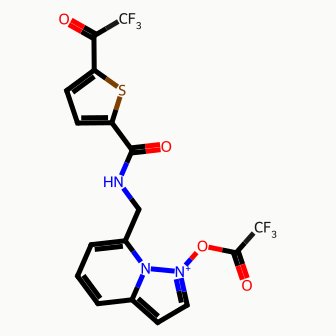 O=C(NCc1cccc2cc[n+](OC(=O)C(F)(F)F)n12)c1ccc(C(=O)C(F)(F)F)s1